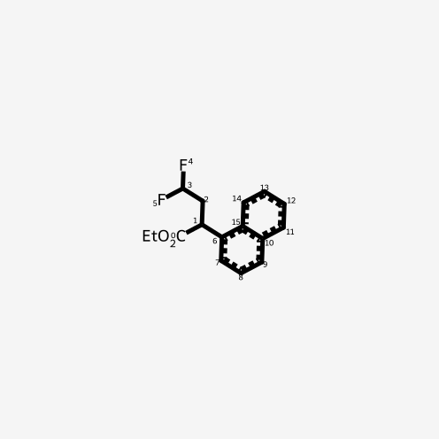 CCOC(=O)C(CC(F)F)c1cccc2ccccc12